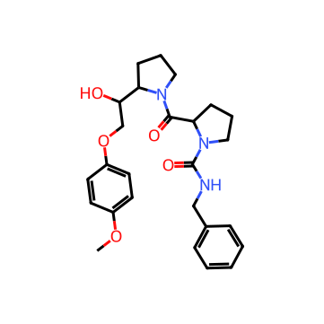 COc1ccc(OCC(O)C2CCCN2C(=O)C2CCCN2C(=O)NCc2ccccc2)cc1